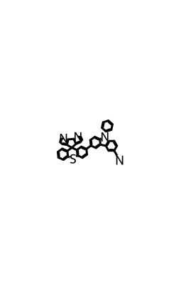 N#Cc1ccc2c(c1)c1cc(-c3ccc4c(c3)C3(c5ccccc5S4)c4cccnc4-c4ncccc43)ccc1n2-c1ccccc1